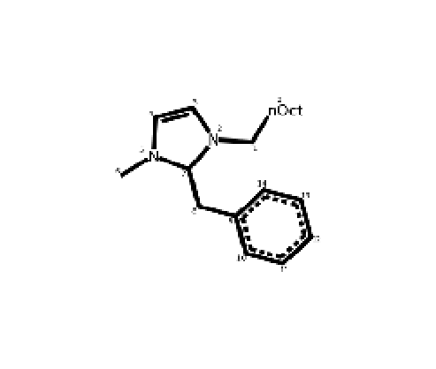 CCCCCCCCCN1C=CN(C)C1Cc1ccccc1